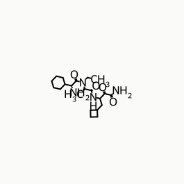 CCN(C(=O)[C@@H](N)C1CCCCC1)C(C)C(=O)NC(CC1CCC1)C(=O)C(N)=O